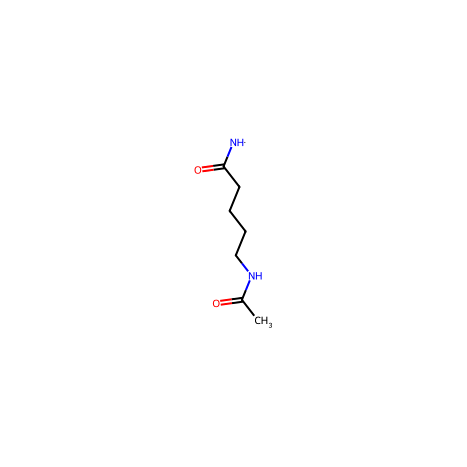 CC(=O)NCCCCC([NH])=O